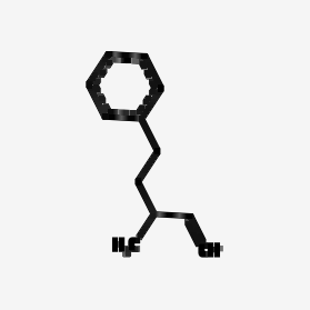 [CH]=CC(C)CCc1ccccc1